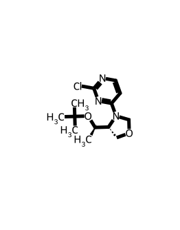 C[C@@H](OC(C)(C)C)[C@H]1COCN1c1ccnc(Cl)n1